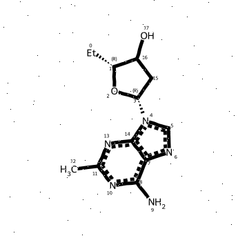 CC[C@H]1O[C@@H](n2cnc3c(N)nc(C)nc32)CC1O